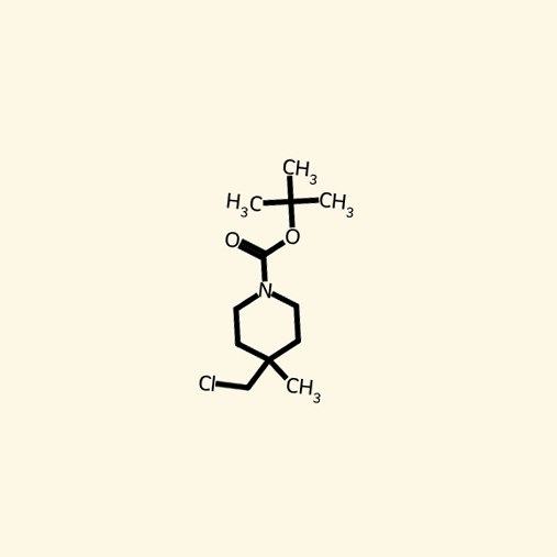 CC1(CCl)CCN(C(=O)OC(C)(C)C)CC1